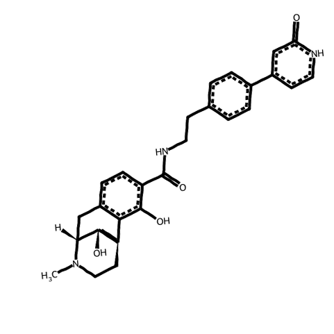 CN1CC[C@]23CCCC[C@@]2(O)[C@H]1Cc1ccc(C(=O)NCCc2ccc(-c4cc[nH]c(=O)c4)cc2)c(O)c13